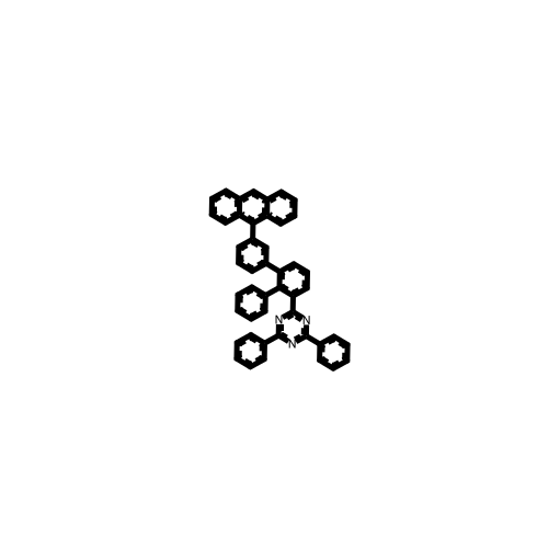 c1ccc(-c2nc(-c3ccccc3)nc(-c3cccc(-c4cccc(-c5c6ccccc6cc6ccccc56)c4)c3-c3ccccc3)n2)cc1